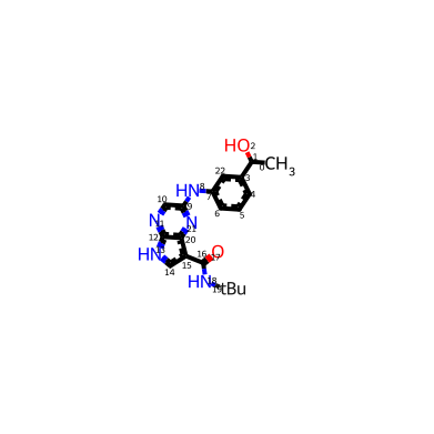 CC(O)c1cccc(Nc2cnc3[nH]cc(C(=O)NC(C)(C)C)c3n2)c1